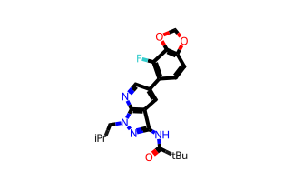 CC(C)Cn1nc(NC(=O)C(C)(C)C)c2cc(-c3ccc4c(c3F)OCO4)cnc21